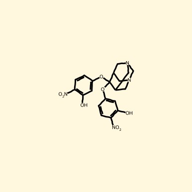 O=[N+]([O-])c1ccc(OC2(Oc3ccc([N+](=O)[O-])c(O)c3)C3CN4CC2CN(C3)C4)cc1O